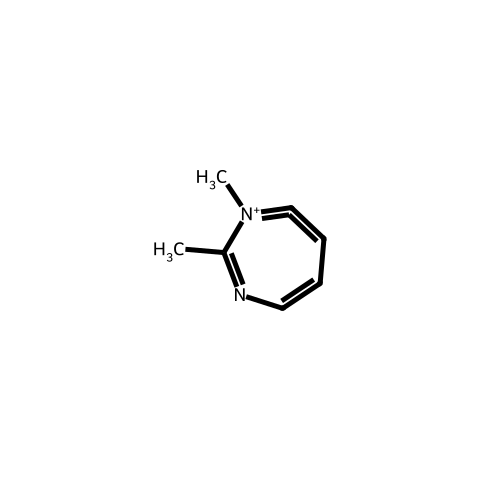 CC1=NC=CC=C=[N+]1C